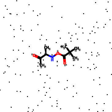 CC(=O)[C@@H](C)NOC(=O)C(C)(C)C